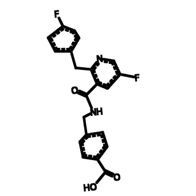 O=C(O)c1ccc(CNC(=O)c2cc(F)cnc2Cc2ccc(F)cc2)cc1